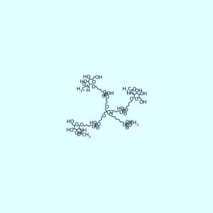 COP(=O)(O)OCCCCCCOCC(COCCCOP(=O)(O)OCCCCOC1OC(CO)C(O)C(O)C1NC(C)=O)(COCCCOP(=O)(O)OCCCCOC1OC(CO)C(O)C(O)C1NC(C)=O)COCCCOP(=O)(O)OCCCCOC1OC(CO)C(O)C(O)C1NC(C)=O